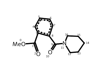 COC(=O)c1ccccc1C(=O)N1CCCCC1